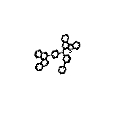 c1ccc(-c2cccc(N(c3ccc(-c4cc5ccccc5c5c4ccc4ccccc45)cc3)c3cc4ccccc4c4c3sc3ccccc34)c2)cc1